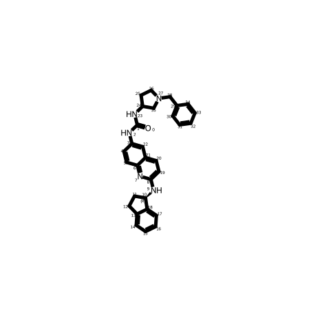 O=C(Nc1ccc2nc(N[C@@H]3CCc4ccccc43)ccc2c1)NC1CCN(Cc2ccccc2)C1